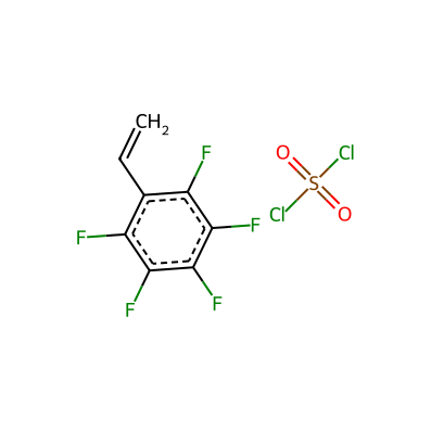 C=Cc1c(F)c(F)c(F)c(F)c1F.O=S(=O)(Cl)Cl